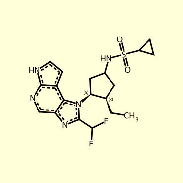 CC[C@@H]1CC(NS(=O)(=O)C2CC2)C[C@@H]1n1c(C(F)F)nc2cnc3[nH]ccc3c21